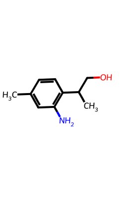 Cc1ccc(C(C)CO)c(N)c1